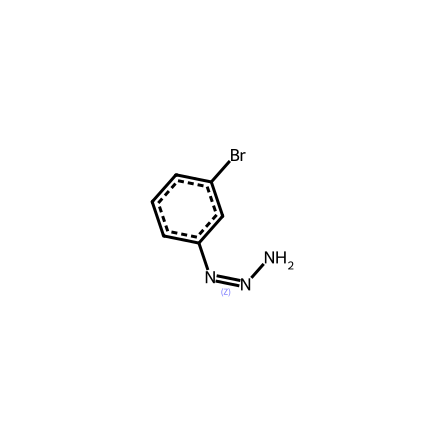 N/N=N\c1cccc(Br)c1